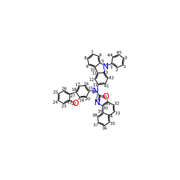 c1ccc(-n2c3ccccc3c3cc(N(c4ccc5c(c4)oc4ccccc45)c4nc5c(ccc6ccccc65)o4)ccc32)cc1